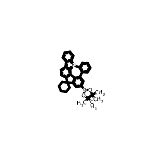 CC1(C)OB(c2cc3c4c(c2)C2(CCCCC2)c2ccc5c6ccccc6n(c5c2-4)-c2ccccc2-3)OC1(C)C